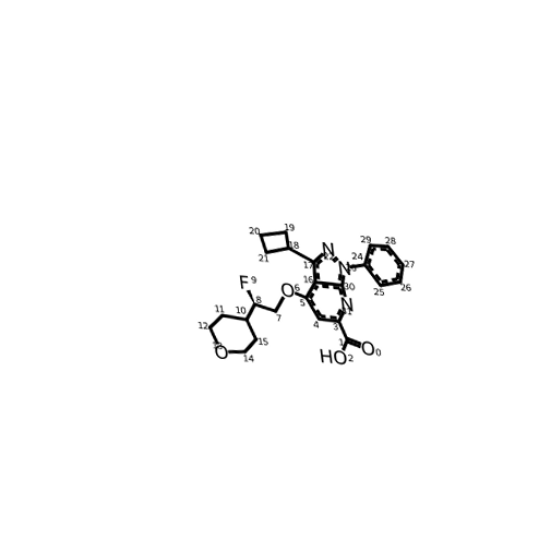 O=C(O)c1cc(OC[C@H](F)C2CCOCC2)c2c(C3CCC3)nn(-c3ccccc3)c2n1